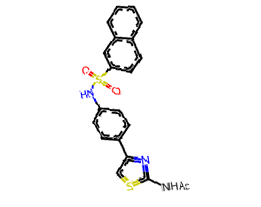 CC(=O)Nc1nc(-c2ccc(NS(=O)(=O)c3ccc4ccccc4c3)cc2)cs1